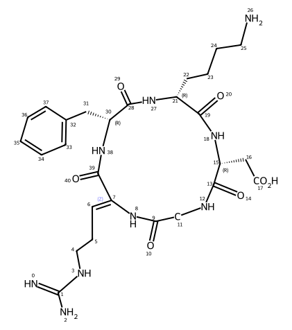 N=C(N)NCC/C=C1\NC(=O)CNC(=O)[C@@H](CC(=O)O)NC(=O)[C@@H](CCCCN)NC(=O)[C@@H](Cc2ccccc2)NC1=O